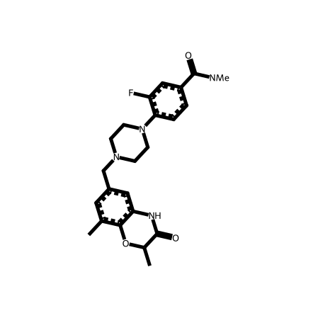 CNC(=O)c1ccc(N2CCN(Cc3cc(C)c4c(c3)NC(=O)C(C)O4)CC2)c(F)c1